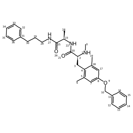 CN[C@@H](Cc1c(C)cc(OCc2ccccc2)cc1C)C(=O)N[C@H](C)C(=O)NCCCc1ccccc1